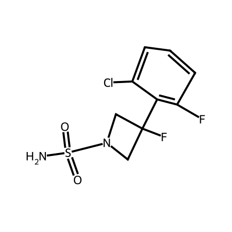 NS(=O)(=O)N1CC(F)(c2c(F)cccc2Cl)C1